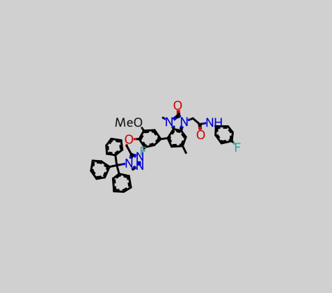 COc1cc(-c2cc(C)cc3c2n(C)c(=O)n3CC(=O)Nc2ccc(F)cc2)cc(F)c1OCc1nncn1C(c1ccccc1)(c1ccccc1)c1ccccc1